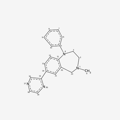 CN1CCN(c2ccccc2)c2ccc(-c3cnccn3)cc2C1